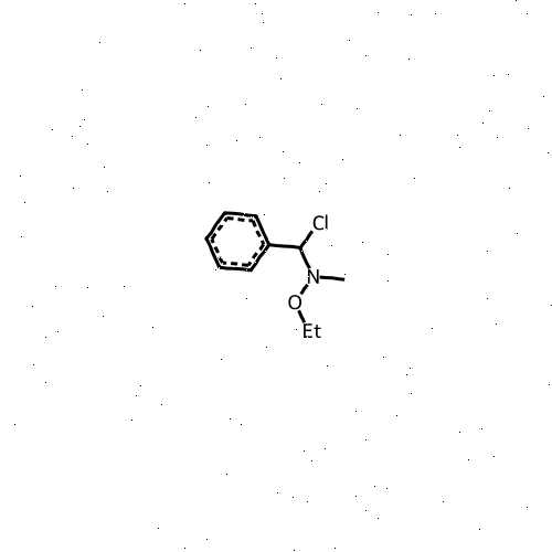 CCON(C)C(Cl)c1ccccc1